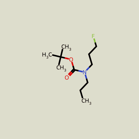 CCCN(CCCF)C(=O)OC(C)(C)C